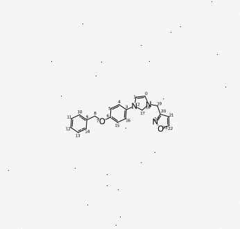 C1=CN(c2ccc(OCc3ccccc3)cc2)CN1Cc1ccon1